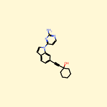 Nc1nccc(-n2c[c]c3ccc(C#CC4(O)CCCCC4)cc32)n1